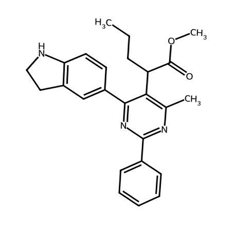 CCCC(C(=O)OC)c1c(C)nc(-c2ccccc2)nc1-c1ccc2c(c1)CCN2